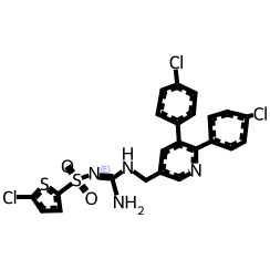 N/C(=N\S(=O)(=O)c1ccc(Cl)s1)NCc1cnc(-c2ccc(Cl)cc2)c(-c2ccc(Cl)cc2)c1